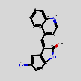 Nc1ccc2c(c1)C(=Cc1ccnc3ccccc13)C(=O)N2